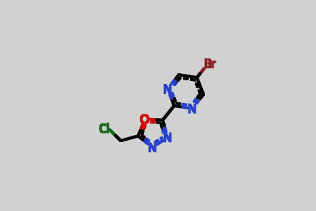 ClCc1nnc(-c2ncc(Br)cn2)o1